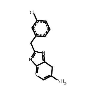 NC1=CN=C2N=C(Cc3cccc(Cl)c3)N=C2C1